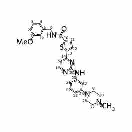 COc1cccc(CNC(=O)c2ccc(-c3ccnc(Nc4cccc(N5CCN(C)CC5)c4)n3)s2)c1